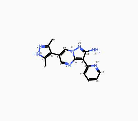 Cc1n[nH]c(C)c1-c1cnc2c(-c3ccccn3)c(N)nn2c1